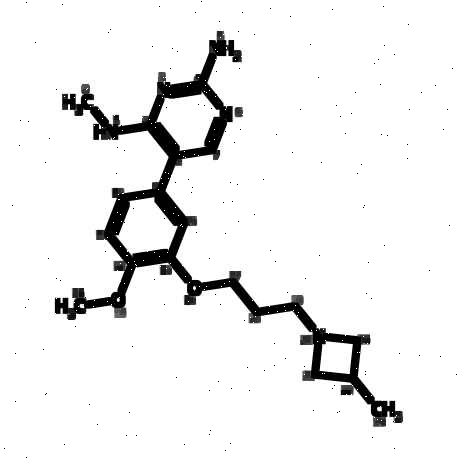 CNc1nc(N)ncc1-c1ccc(OC)c(OCCCN2CC(C)C2)c1